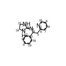 c1ccc(C(Cc2ccccn2)N=C2NCCN2)cc1